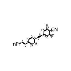 CCC/C=C/c1ccc(C#Cc2cc(F)c(C#N)c(F)c2)cc1